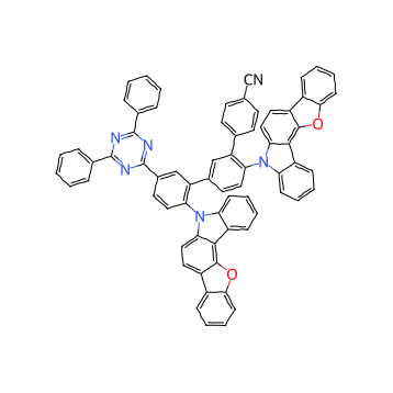 N#Cc1ccc(-c2cc(-c3cc(-c4nc(-c5ccccc5)nc(-c5ccccc5)n4)ccc3-n3c4ccccc4c4c5oc6ccccc6c5ccc43)ccc2-n2c3ccccc3c3c4oc5ccccc5c4ccc32)cc1